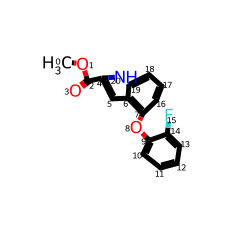 COC(=O)c1cc2c(Oc3ccccc3F)cccc2[nH]1